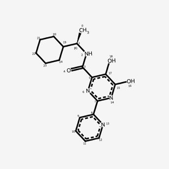 C[C@@H](NC(=O)c1nc(-c2ccccn2)nc(O)c1O)C1CCCCC1